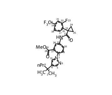 CCCC(C)(C)c1cnn(-c2ccc(NC(=O)C3(c4ccc(C(F)(F)F)cc4F)CC3)cc2C(=O)OC)c1